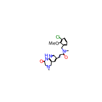 COc1c(Cl)cccc1CN(C)C(=O)/C=C/c1cnc2c(c1)CN(C)CC(=O)N2